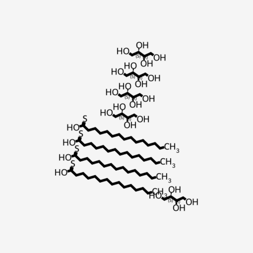 CCCCCCCCCCCCCCC(O)=S.CCCCCCCCCCCCCCC(O)=S.CCCCCCCCCCCCCCC(O)=S.CCCCCCCCCCCCCCC(O)=S.OC[C@@H](O)[C@@H](O)CO.OC[C@@H](O)[C@@H](O)CO.OC[C@@H](O)[C@@H](O)CO.OC[C@@H](O)[C@@H](O)CO.OC[C@@H](O)[C@@H](O)CO